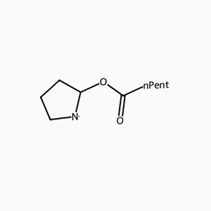 CCCCCC(=O)OC1CCC[N]1